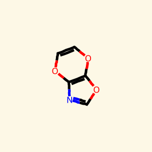 C1=COc2ocnc2O1